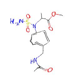 COC(=O)C(C)N(c1ccc(CNC(C)=O)cc1)S(N)(=O)=O